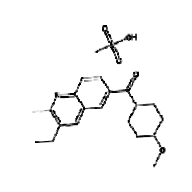 CCc1cc2cc(C(=O)C3CCC(OC)CC3)ccc2nc1C.CS(=O)(=O)O